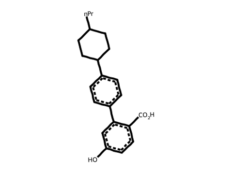 CCCC1CCC(c2ccc(-c3cc(O)ccc3C(=O)O)cc2)CC1